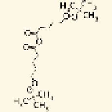 CC(C)(C)OOCCCCC(=O)OC(=O)CCCCOOC(C)(C)C